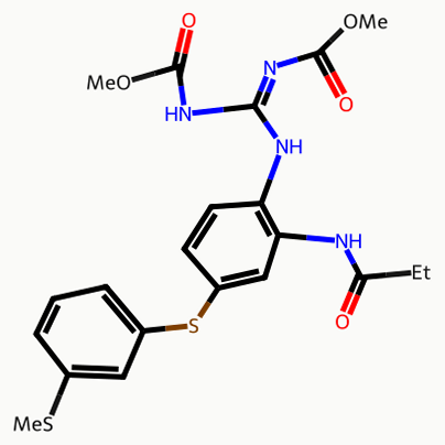 CCC(=O)Nc1cc(Sc2cccc(SC)c2)ccc1NC(=NC(=O)OC)NC(=O)OC